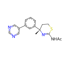 CC(=O)NC1=N[C@](C)(c2cccc(-c3cncnc3)c2)CCS1